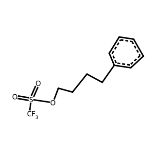 O=S(=O)(OCCCCc1ccccc1)C(F)(F)F